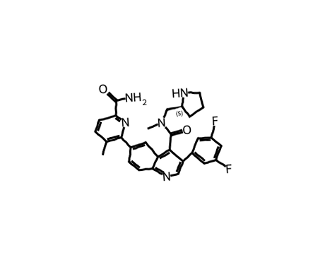 Cc1ccc(C(N)=O)nc1-c1ccc2ncc(-c3cc(F)cc(F)c3)c(C(=O)N(C)C[C@@H]3CCCN3)c2c1